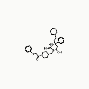 N=C1NC(CCC2CCCCC2)(c2ccccc2)CC(O)N1CC1CCN(C(=O)COc2ccccc2)CC1